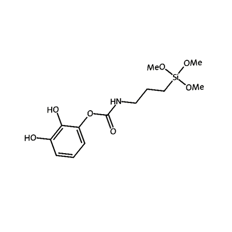 CO[Si](CCCNC(=O)Oc1cccc(O)c1O)(OC)OC